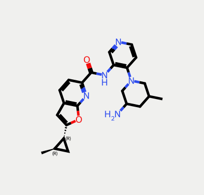 CC1CC(N)CN(c2ccncc2NC(=O)c2ccc3cc([C@@H]4C[C@H]4C)oc3n2)C1